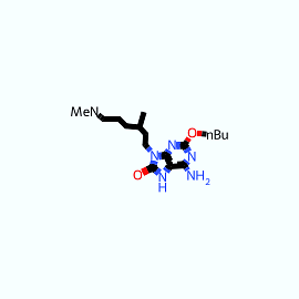 CCCCOc1nc(N)c2[nH]c(=O)n(CCC(C)CCCNC)c2n1